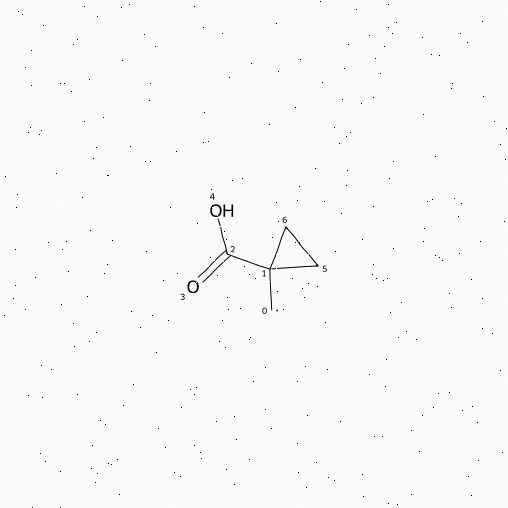 [CH2]C1(C(=O)O)CC1